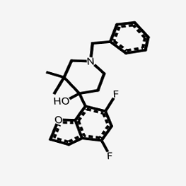 CC1(C)CN(Cc2ccccc2)CCC1(O)c1c(F)cc(F)c2ccoc12